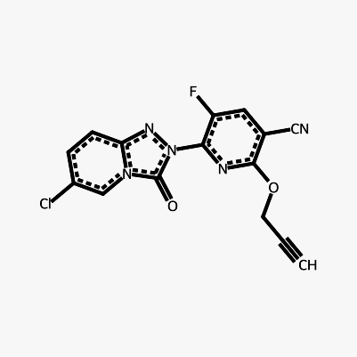 C#CCOc1nc(-n2nc3ccc(Cl)cn3c2=O)c(F)cc1C#N